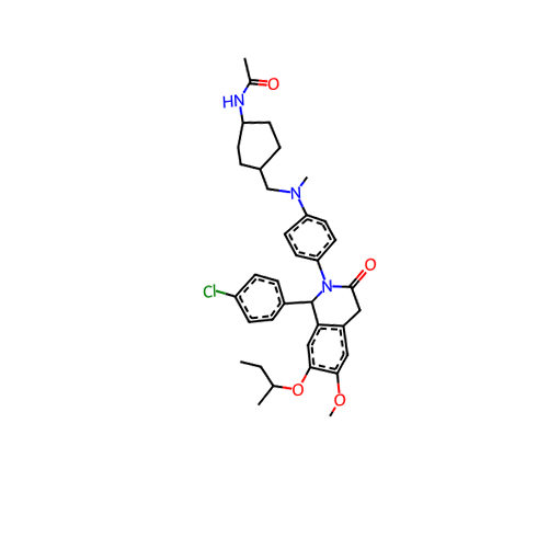 CCC(C)Oc1cc2c(cc1OC)CC(=O)N(c1ccc(N(C)CC3CCC(NC(C)=O)CC3)cc1)C2c1ccc(Cl)cc1